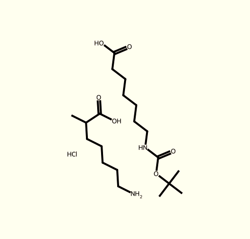 CC(C)(C)OC(=O)NCCCCCCC(=O)O.CC(CCCCCN)C(=O)O.Cl